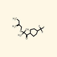 C=C(CC)COC(C)(C)C(=O)C1CCC(C(F)(F)F)CC1